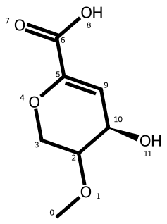 COC1COC(C(=O)O)=C[C@H]1O